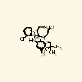 CC(C)(C)CO[C@H]1CC(=O)NC[C@@H](c2cccc(Cl)c2)[C@]12C(=O)Nc1cc(Cl)ccc12